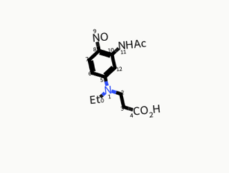 CCN(CCC(=O)O)c1ccc(N=O)c(NC(C)=O)c1